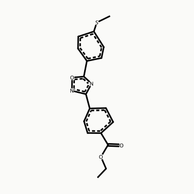 CCOC(=O)c1ccc(-c2noc(-c3ccc(SC)cc3)n2)cc1